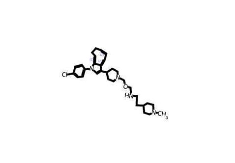 CN1CCC(CCNCOCN2CCC(c3cn(-c4ccc(Cl)cc4)c4/c3=C\C=C/CC/C=4)CC2)CC1